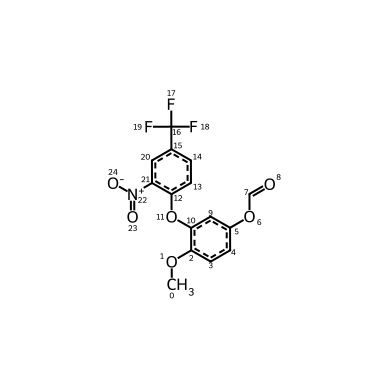 COc1ccc(OC=O)cc1Oc1ccc(C(F)(F)F)cc1[N+](=O)[O-]